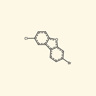 Clc1ccc2oc3cc(Br)ccc3c2c1